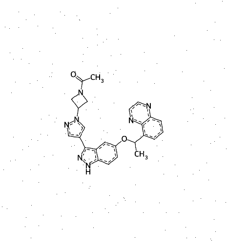 CC(=O)N1CC(n2cc(-c3n[nH]c4ccc(OC(C)c5cccc6nccnc56)cc34)cn2)C1